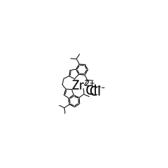 CC(C)c1ccc(C(C)C)c2c1C=C1CCC3=Cc4c(C(C)C)ccc(C(C)C)c4[CH]3[Zr+2][CH]12.[Cl-].[Cl-]